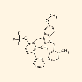 COc1ccc2c(c1)c(Cc1c(OC(F)(F)F)ccc(-c3ccccc3)c1C)cn2Cc1ccccc1C